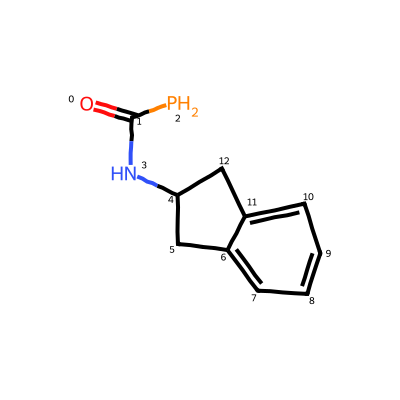 O=C(P)NC1Cc2ccccc2C1